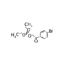 CCOP(OCC)OCC(=O)c1ccc(Br)cc1